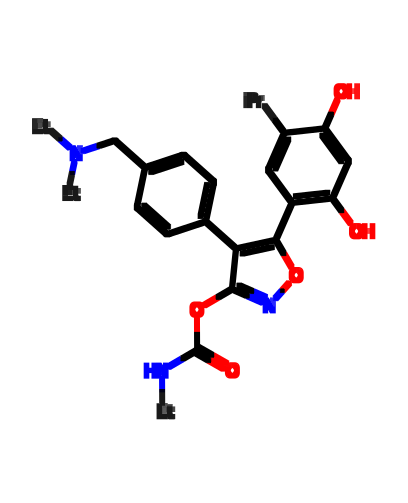 CCNC(=O)Oc1noc(-c2cc(C(C)C)c(O)cc2O)c1-c1ccc(CN(CC)CC)cc1